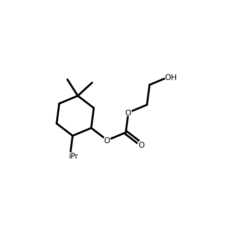 CC(C)C1CCC(C)(C)CC1OC(=O)OCCO